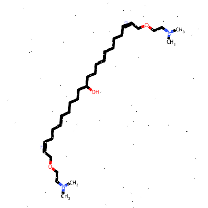 CN(C)CCOC/C=C\CCCCCCCCC(O)CCCCCCCC/C=C\COCCN(C)C